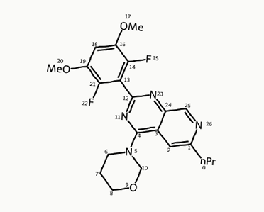 CCCc1cc2c(N3CCCOC3)nc(-c3c(F)c(OC)cc(OC)c3F)nc2cn1